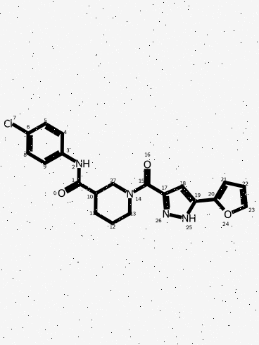 O=C(Nc1ccc(Cl)cc1)C1CCCN(C(=O)c2cc(-c3ccco3)[nH]n2)C1